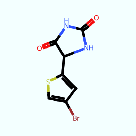 O=C1NC(=O)C(c2cc(Br)cs2)N1